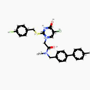 CCCN(Cc1ccc(-c2ccc(C(F)(F)F)cc2)cc1)C(=O)Cn1cc(Cl)c(=O)nc1SCc1ccc(F)cc1